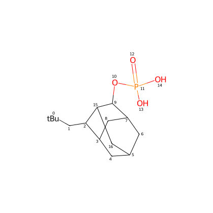 CC(C)(C)CC1C2CC3CC(C2)C(OP(=O)(O)O)C1C3